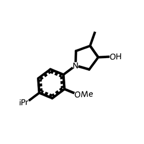 COc1cc(C(C)C)ccc1N1CC(C)C(O)C1